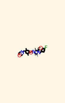 Cc1cc(OCN2C[C@@H](C)N(Cc3ccc(F)cc3)C(=C=O)[C@@H]2C)c(C)cc1CN1CCOCC1